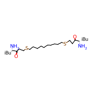 CC[C@H](C)[C@H](N)C(=O)CCSCCCCCCCCCCSCCC(=O)[C@@H](N)[C@@H](C)CC